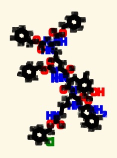 Cc1cc(O)cc2c1C[C@H](NC(=O)C(CCCN/C(=N\C(=O)OCc1ccccc1)NC(=O)OCc1ccccc1)NC(=O)OCc1ccccc1)C(=O)N2[C@@H](CCCCNC(=O)OCc1ccccc1Cl)C(=O)N[C@@H](Cc1ccccc1)C(N)=O